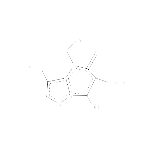 CCOC(=O)c1c(O)n2ncc(C(=O)OCC)c2n(CC(C)C)c1=O